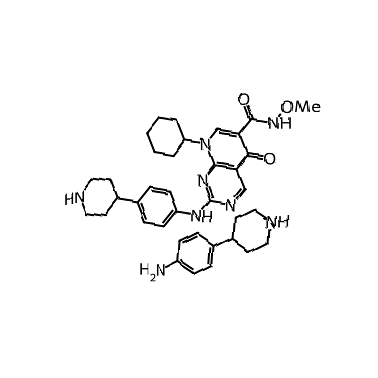 CONC(=O)c1cn(C2CCCCC2)c2nc(Nc3ccc(C4CCNCC4)cc3)ncc2c1=O.Nc1ccc(C2CCNCC2)cc1